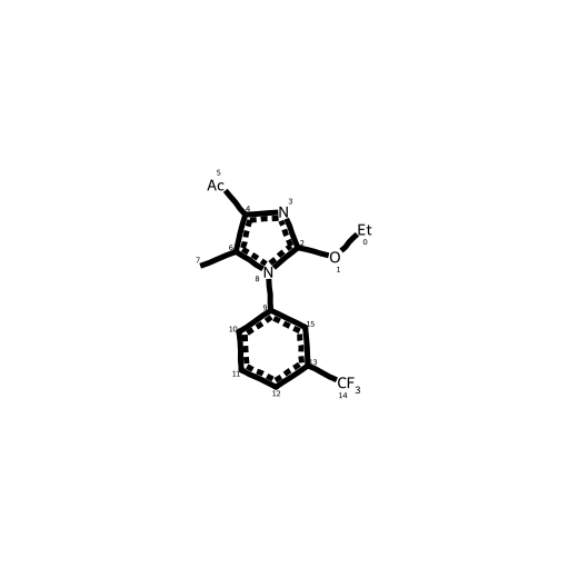 CCOc1nc(C(C)=O)c(C)n1-c1cccc(C(F)(F)F)c1